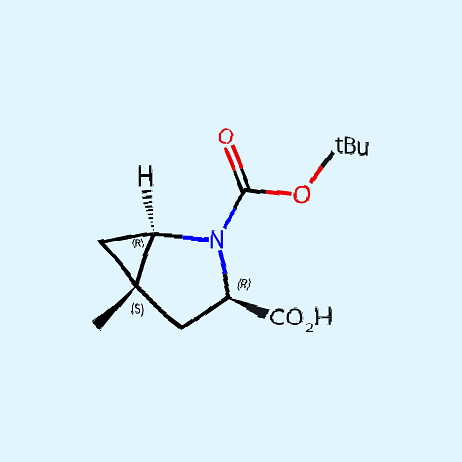 CC(C)(C)OC(=O)N1[C@@H](C(=O)O)C[C@]2(C)C[C@@H]12